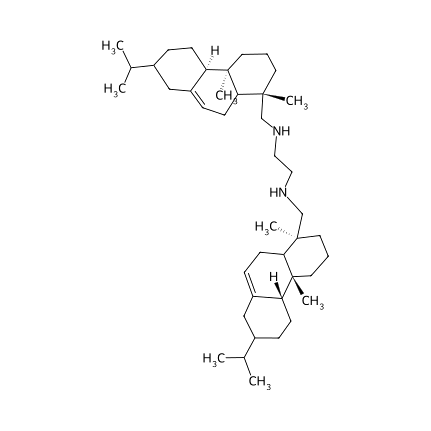 CC(C)C1CC[C@@H]2C(=CCC3[C@@](C)(CNCCNC[C@@]4(C)CCC[C@@]5(C)C4CC=C4CC(C(C)C)CC[C@H]45)CCC[C@@]32C)C1